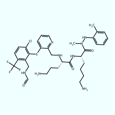 Cc1ccccc1NN(C)C(=O)[C@H](CCCCN)NC(=O)[C@H](CCCN)NCc1ncccc1Sc1c(Cl)ccc(C(F)(F)F)c1CNC=O